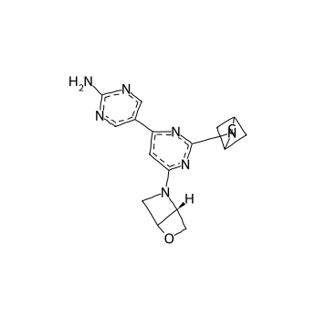 Nc1ncc(-c2cc(N3CC4OC[C@H]43)nc(N3CC4CC3C4)n2)cn1